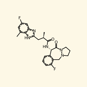 Cc1cc(F)cc2nc(C[C@@H](C)C(=O)N[C@@H]3C(=O)N4CCCN4Cc4c(F)cccc43)[nH]c12